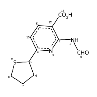 O=CNc1nc(C2CCCS2)ccc1C(=O)O